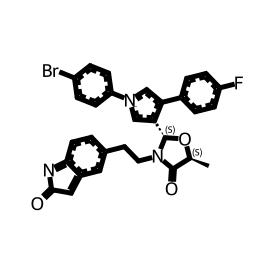 C[C@@H]1O[C@@H](c2cn(-c3ccc(Br)cc3)cc2-c2ccc(F)cc2)N(CCc2ccc3c(c2)=CC(=O)N=3)C1=O